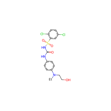 CCN(CCO)c1ccc(NC(=O)NS(=O)(=O)c2cc(Cl)ccc2Cl)cc1